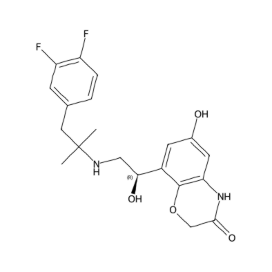 CC(C)(Cc1ccc(F)c(F)c1)NC[C@H](O)c1cc(O)cc2c1OCC(=O)N2